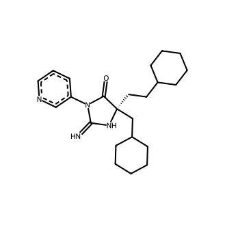 N=C1N[C@](CCC2CCCCC2)(CC2CCCCC2)C(=O)N1c1cccnc1